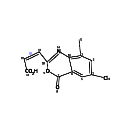 Cc1cc(Cl)cc2c(=O)oc(/C=C\C(=O)O)nc12